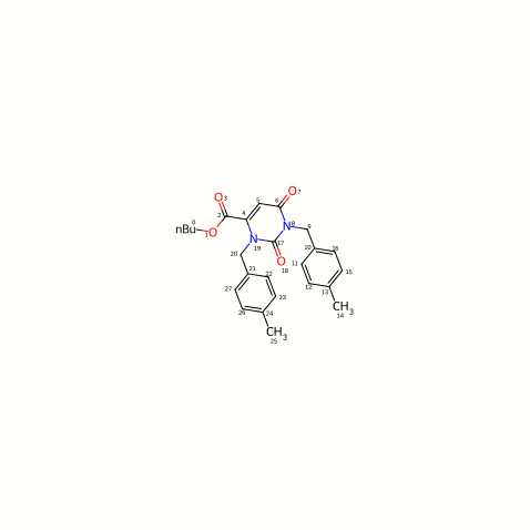 CCCCOC(=O)c1cc(=O)n(Cc2ccc(C)cc2)c(=O)n1Cc1ccc(C)cc1